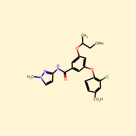 COCC(C)Oc1cc(Oc2ccc(C(=O)O)cc2Cl)cc(C(=O)Nc2ccn(C)n2)c1